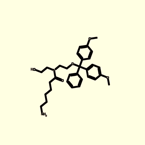 COc1ccc(C(OCCN(CCO)C(=O)CCCCCN)(c2ccccc2)c2ccc(OC)cc2)cc1